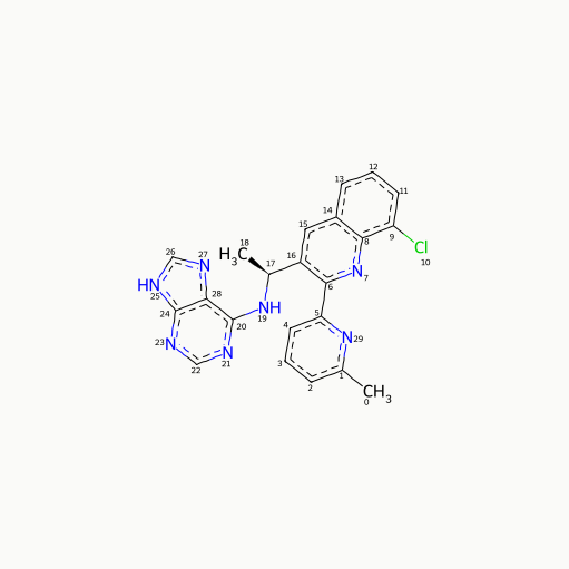 Cc1cccc(-c2nc3c(Cl)cccc3cc2[C@H](C)Nc2ncnc3[nH]cnc23)n1